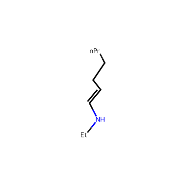 CCCCCC=CNCC